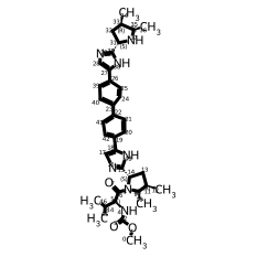 COC(=O)N[C@H](C(=O)N1[C@H](C)[C@H](C)C[C@H]1c1ncc(-c2ccc(-c3ccc(-c4cnc([C@@H]5C[C@@H](C)[C@@H](C)N5)[nH]4)cc3)cc2)[nH]1)C(C)C